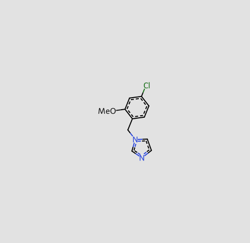 COc1cc(Cl)ccc1Cn1ccnc1